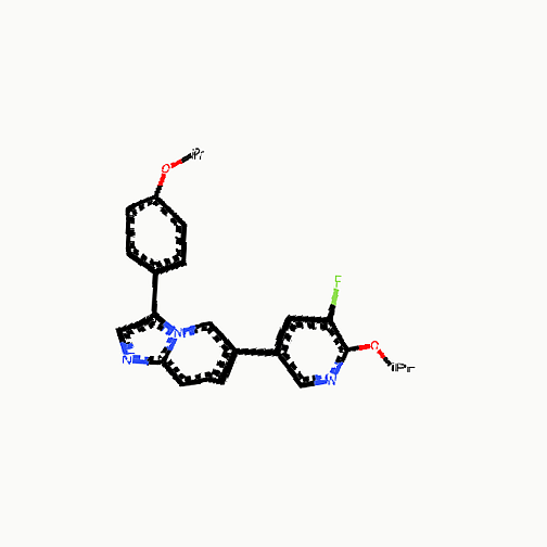 CC(C)Oc1ccc(-c2cnc3ccc(-c4cnc(OC(C)C)c(F)c4)cn23)cc1